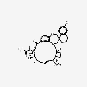 CC[C@@H]1[C@@H](C)C/C=C/[C@H](OC)[C@@H]2CC[C@H]2CN2C[C@@]3(CCCc4cc(Cl)ccc43)COc3ccc(cc32)C(=O)N=S1(=O)NC(=O)C(F)(F)F